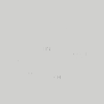 Cc1ccco1.O=C(O)c1ccc[nH]1